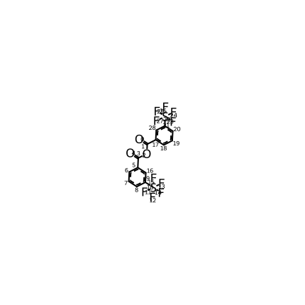 O=C(OC(=O)c1cccc(S(F)(F)(F)(F)F)c1)c1cccc(S(F)(F)(F)(F)F)c1